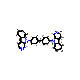 c1ccc2c(c1)c1ccncc1n2-c1ccc(-c2ccc(-n3c4ccccc4c4ccncc43)cc2)cc1